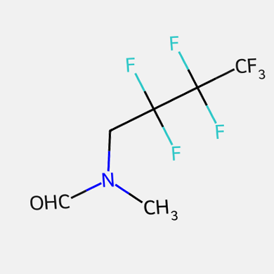 CN(C=O)CC(F)(F)C(F)(F)C(F)(F)F